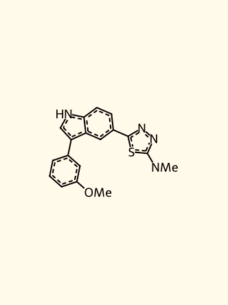 CNc1nnc(-c2ccc3[nH]cc(-c4cccc(OC)c4)c3c2)s1